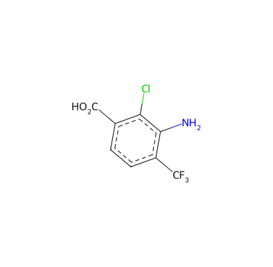 Nc1c(C(F)(F)F)ccc(C(=O)O)c1Cl